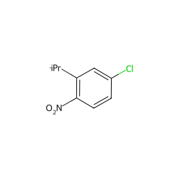 C[C](C)c1cc(Cl)ccc1[N+](=O)[O-]